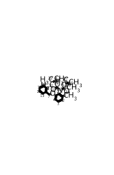 Cc1cccc(OCc2ccccc2)c1N(C(=O)OC(C)(C)C)C(=O)OC(C)(C)C